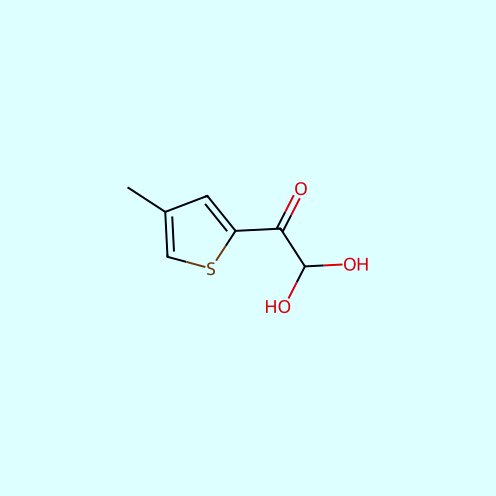 Cc1csc(C(=O)C(O)O)c1